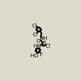 O=C(NCCc1ccc(Cl)cc1Cl)c1sc(Cl)cc1Nc1ccc(O)c(F)c1